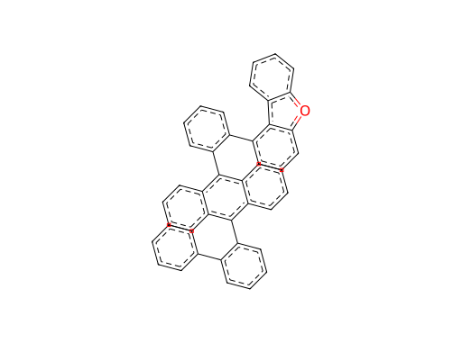 c1ccc(-c2ccccc2-c2c3ccccc3c(-c3ccccc3-c3cccc4oc5ccccc5c34)c3ccccc23)cc1